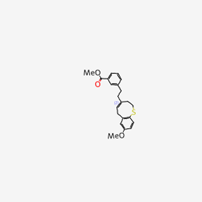 COC(=O)c1cccc(CC/C2=C/Cc3cc(OC)ccc3SCC2)c1